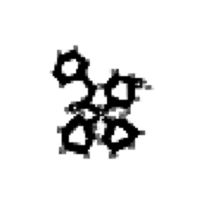 O=C(Cc1ccccc1)[P+](c1ccccc1)(c1ccccc1)c1ccccc1.[Cl-]